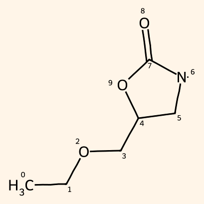 CCOCC1C[N]C(=O)O1